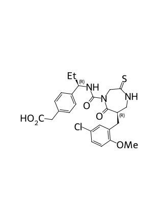 CC[C@@H](NC(=O)N1CC(=S)NC[C@@H](Cc2cc(Cl)ccc2OC)C1=O)c1ccc(CC(=O)O)cc1